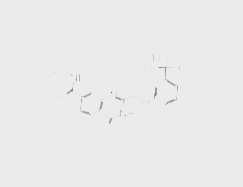 CC(C)(C)c1cccc(OCc2nc3cc(C(=O)NO)ccc3c(=O)[nH]2)c1